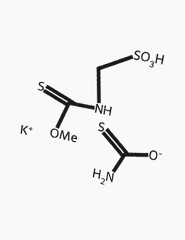 COC(=S)NCS(=O)(=O)O.NC([O-])=S.[K+]